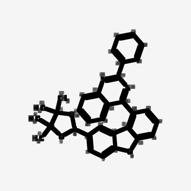 CC1(C)OB(c2ccc3oc4cccc(-c5nc(-c6ccccc6)nc6ccccc56)c4c3c2)OC1(C)C